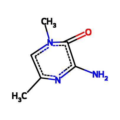 Cc1cn(C)c(=O)c(N)n1